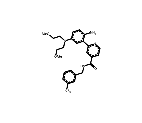 COCCN(CCOC)c1ccc(N)c(-c2cc(C(=O)NCc3cccc(C(F)(F)F)c3)ccn2)c1